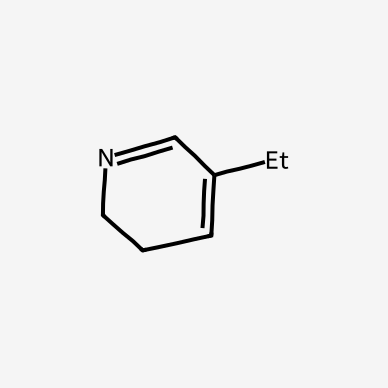 CCC1=CCCN=C1